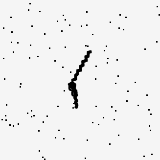 [CH2]CCCCCOC[C@@H]1C[C@H](CCCCCCCCCCCCCC)CO1